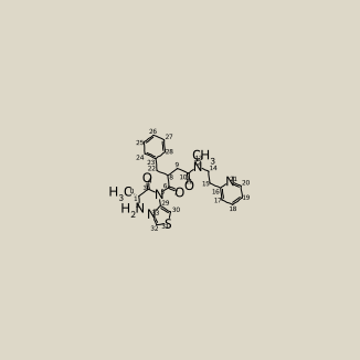 C[C@@H](N)C(=O)N(C(=O)C(CC(=O)N(C)CCc1ccccn1)Cc1ccccc1)c1cscn1